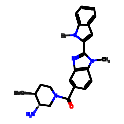 CCn1c(-c2nc3cc(C(=O)N4CC[C@H](OC)[C@@H](N)C4)ccc3n2C)cc2ccccc21